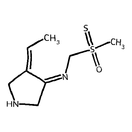 C/C=C1/CNC/C1=N/CS(C)(=O)=S